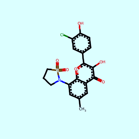 Cc1cc(N2CCCS2(=O)=O)c2oc(-c3ccc(O)c(Cl)c3)c(O)c(=O)c2c1